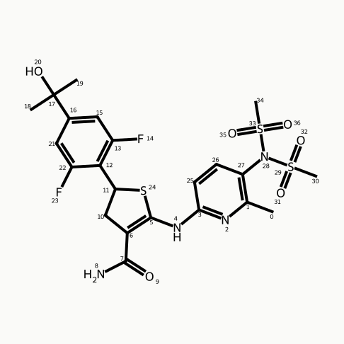 Cc1nc(NC2=C(C(N)=O)CC(c3c(F)cc(C(C)(C)O)cc3F)S2)ccc1N(S(C)(=O)=O)S(C)(=O)=O